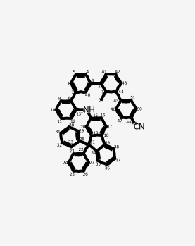 CC1C(c2cccc(-c3ccccc3Nc3ccc4c(c3)C(c3ccccc3)(c3ccccc3)c3ccccc3-4)c2)=CC=CC1c1ccc(C#N)cc1